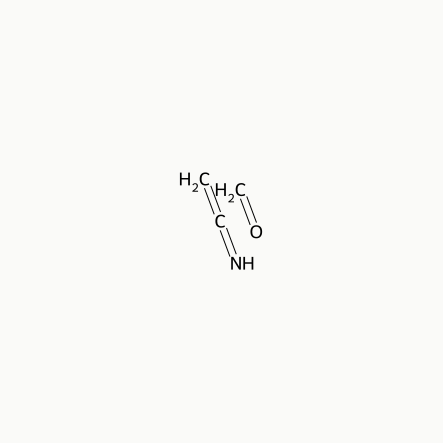 C=C=N.C=O